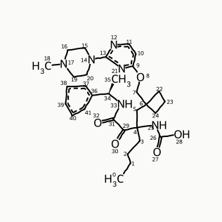 CCCCC(CC1(COc2ccnc(N3CCN(C)CC3)n2)CCC1)(NC(=O)O)C(=O)C(=O)N[C@H](C)c1ccccc1